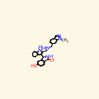 Cn1ncc2ccc(CNCc3[nH]c4ccccc4c3C3NC(=O)c4ccc(O)cc43)cc21